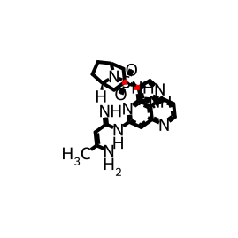 C/C(N)=C/C(=N)Nc1cc2ncccc2c(N[C@@H]2CC3CC[C@@H](C2)N3S(=O)(=O)c2cn[nH]c2)n1